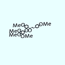 COc1ccc(C=CC(=O)c2ccc(OC)cc2Oc2cc(OC)c(OC)c(OC)c2)cc1